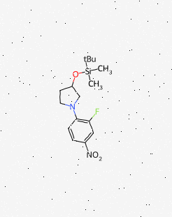 CC(C)(C)[Si](C)(C)OC1CCN(c2ccc([N+](=O)[O-])cc2F)C1